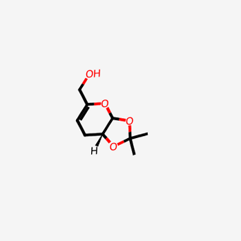 CC1(C)OC2OC(CO)=CC[C@H]2O1